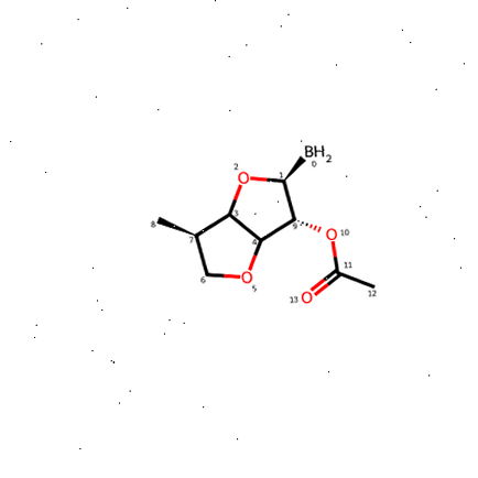 B[C@@H]1OC2C(OC[C@H]2C)[C@H]1OC(C)=O